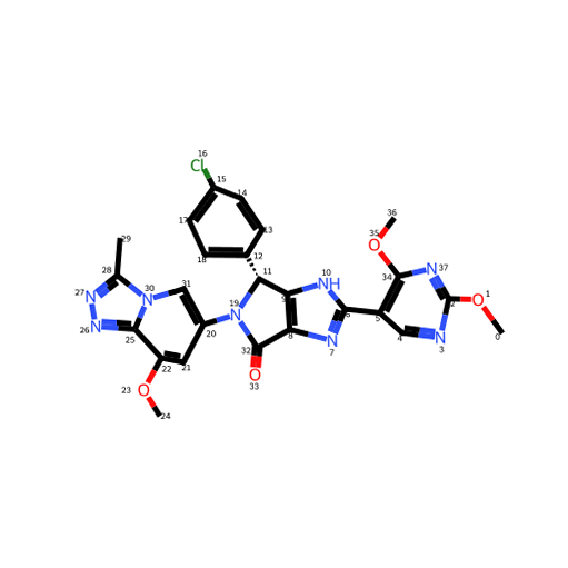 COc1ncc(-c2nc3c([nH]2)[C@@H](c2ccc(Cl)cc2)N(c2cc(OC)c4nnc(C)n4c2)C3=O)c(OC)n1